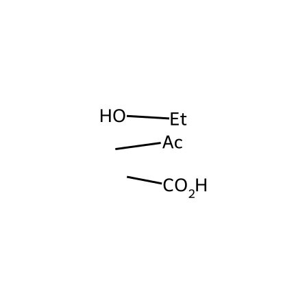 CC(=O)O.CC(C)=O.CCO